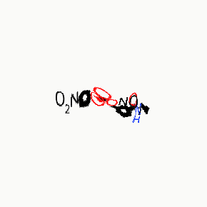 C#CCNC(=O)c1cccc(COC(=O)Oc2ccc([N+](=O)[O-])cc2)c1[N+](=O)[O-]